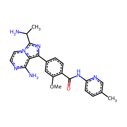 COc1cc(-c2nc(C(C)N)n3ccnc(N)c23)ccc1C(=O)Nc1ccc(C)cn1